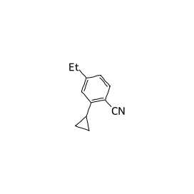 CCc1ccc(C#N)c(C2CC2)c1